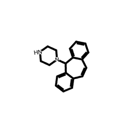 C1=Cc2ccccc2C(N2CCNCC2)c2ccccc21